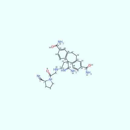 N#C[C@@H]1CCCN1C(=O)CNCCC1(C(=N)N)c2ccc(C(N)=O)cc2CCc2cc(C(N)=O)ccc21